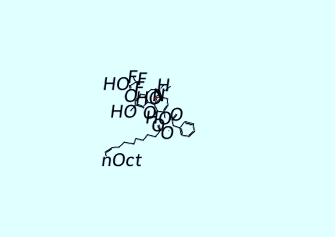 CCCCCCCC/C=C\CCCCCCCC(=O)O[C@H](C(=O)OC1=CC[C@@]2(O)[C@H]3Cc4ccc(O)c5c4[C@@]2(CCN3C)[C@H]1O5)c1ccccc1.O=C(O)C(F)(F)F